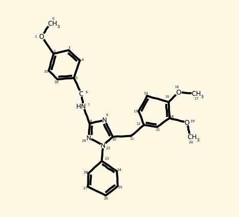 COc1ccc(CNc2nc(Cc3ccc(OC)c(OC)c3)n(-c3ccccc3)n2)cc1